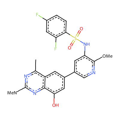 CNc1nc(C)c2cc(-c3cnc(OC)c(NS(=O)(=O)c4ccc(F)cc4F)c3)cc(O)c2n1